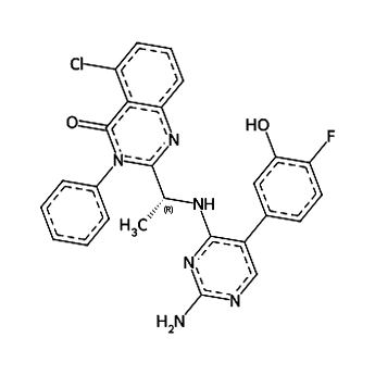 C[C@@H](Nc1nc(N)ncc1-c1ccc(F)c(O)c1)c1nc2cccc(Cl)c2c(=O)n1-c1ccccc1